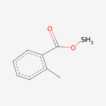 Cc1ccccc1C(=O)O[SiH3]